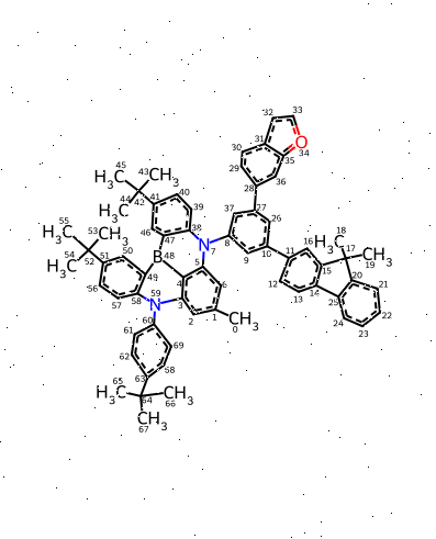 Cc1cc2c3c(c1)N(c1cc(-c4ccc5c(c4)C(C)(C)c4ccccc4-5)cc(-c4ccc5ccoc5c4)c1)c1ccc(C(C)(C)C)cc1B3c1cc(C(C)(C)C)ccc1N2c1ccc(C(C)(C)C)cc1